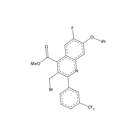 COC(=O)c1c(CBr)c(-c2cccc(C(F)(F)F)c2)nc2cc(OC(C)C)c(F)cc12